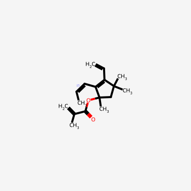 C=CC1=C(/C=C\C)C(C)(OC(=O)C(=C)C)CC1(C)C